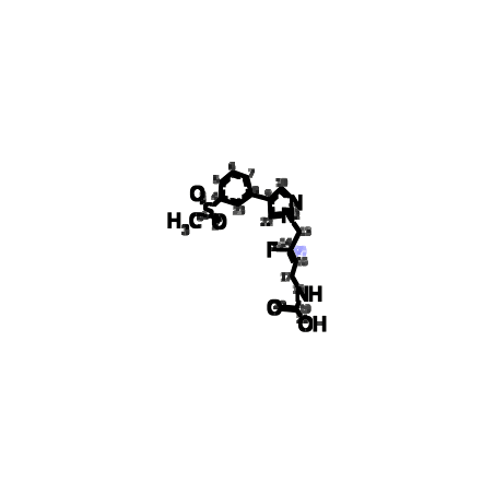 CS(=O)(=O)c1cccc(-c2cnn(C/C(F)=C/CNC(=O)O)c2)c1